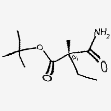 CC[C@@](C)(C(N)=O)C(=O)OC(C)(C)C